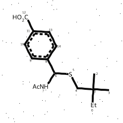 CCC(C)(C)CSC(NC(C)=O)c1ccc(C(=O)O)cc1